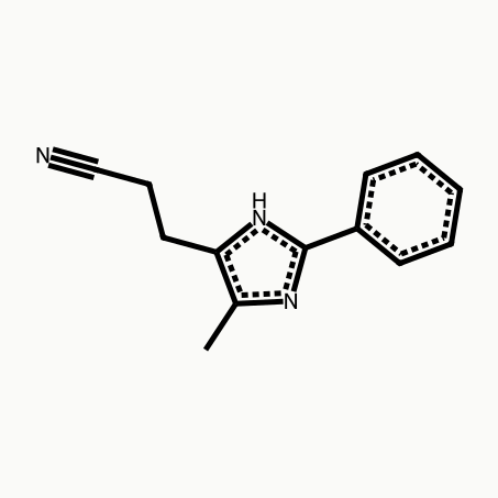 Cc1nc(-c2ccccc2)[nH]c1CCC#N